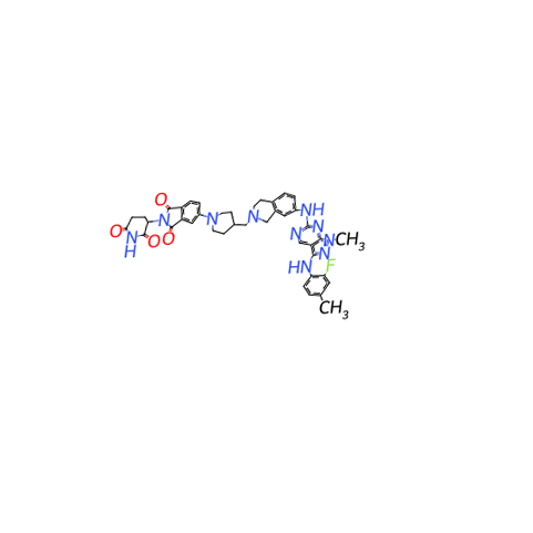 Cc1ccc(Nc2nn(C)c3nc(Nc4ccc5c(c4)CN(CC4CCN(c6ccc7c(c6)C(=O)N(C6CCC(=O)NC6=O)C7=O)CC4)CC5)ncc23)c(F)c1